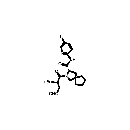 CCCC[C@H](CC=O)C(=O)N1CC2(CCCC2)C[C@H]1C(=O)Nc1ccc(F)cn1